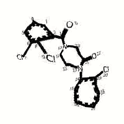 O=C(c1cccc(Cl)c1Cl)N1CCN(c2ccccc2Cl)C(=O)C1